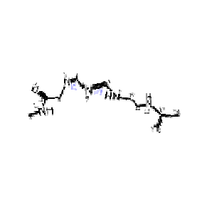 CNC(=O)C/N=C\N=C\NCCNC(C)C